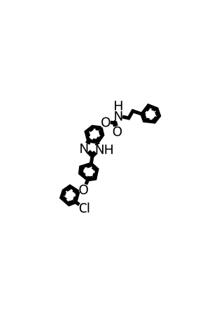 O=C(NCCc1ccccc1)Oc1ccc2nc(-c3ccc(Oc4ccccc4Cl)cc3)[nH]c2c1